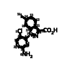 Nc1ncc(Cl)c(-n2nc(C(=O)O)c3ccc(I)cc32)n1